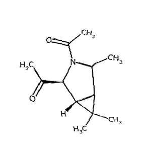 CC(=O)[C@@H]1[C@@H]2C(C(C)N1C(C)=O)C2(C)C